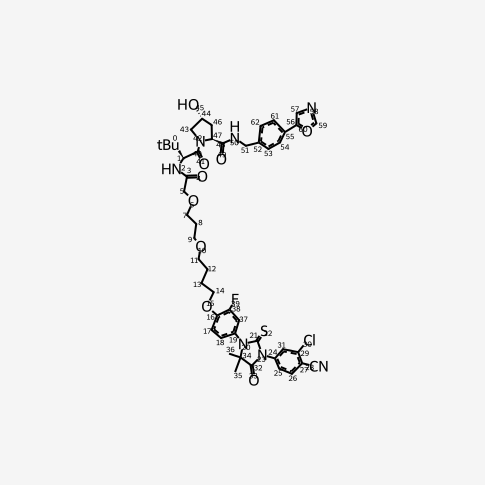 CC(C)(C)[C@H](NC(=O)COCCCOCCCCOc1ccc(N2C(=S)N(c3ccc(C#N)c(Cl)c3)C(=O)C2(C)C)cc1F)C(=O)N1C[C@H](O)C[C@H]1C(=O)NCc1ccc(-c2cnco2)cc1